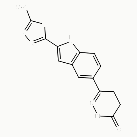 CSc1nnc(-c2cc3cc(C4=NNC(=O)CC4)ccc3[nH]2)o1